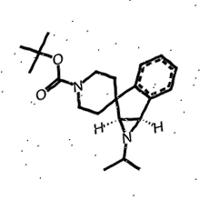 CC(C)N1[C@@H]2c3ccccc3C3(CCN(C(=O)OC(C)(C)C)CC3)[C@@H]21